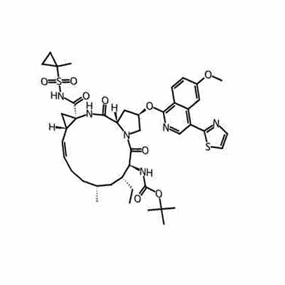 CC[C@@H]1C[C@H](C)CC/C=C\[C@@H]2C[C@@]2(C(=O)NS(=O)(=O)C2(C)CC2)NC(=O)[C@@H]2C[C@@H](Oc3ncc(-c4nccs4)c4cc(OC)ccc34)CN2C(=O)[C@H]1NC(=O)OC(C)(C)C